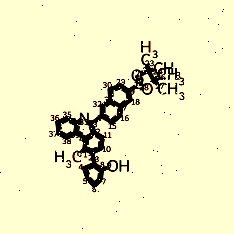 Cc1c(-c2ccccc2O)ccc2c(-c3ccc4cc(B5OC(C)(C)C(C)(C)O5)ccc4c3)nc3ccccc3c12